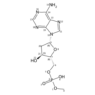 COP(=O)(O)OC[C@H]1O[C@@H](n2cnc3c(N)ncnc32)C[C@@H]1O